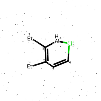 CCC1=[C](CC)[AlH][Cl+]C=C1